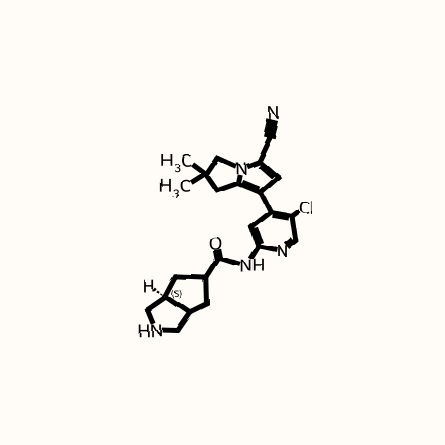 CC1(C)Cc2c(-c3cc(NC(=O)C4CC5CNC[C@H]5C4)ncc3Cl)cc(C#N)n2C1